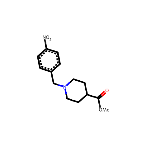 COC(=O)C1CCN(Cc2ccc([N+](=O)[O-])cc2)CC1